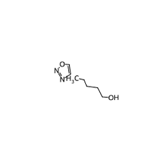 CCCCCO.c1conn1